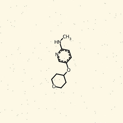 CNc1ccc(OC2CCOCC2)cn1